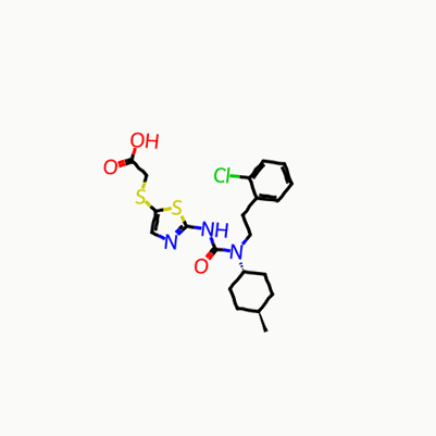 C[C@H]1CC[C@H](N(CCc2ccccc2Cl)C(=O)Nc2ncc(SCC(=O)O)s2)CC1